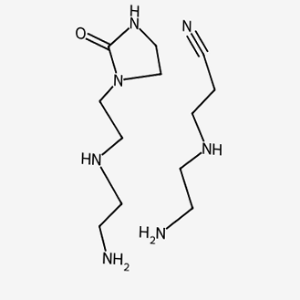 N#CCCNCCN.NCCNCCN1CCNC1=O